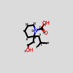 CC(C)CC1(CCO)CCCCN1C(=O)O